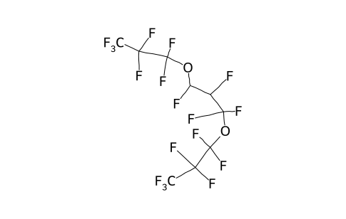 FC(OC(F)(F)C(F)(F)C(F)(F)F)C(F)C(F)(F)OC(F)(F)C(F)(F)C(F)(F)F